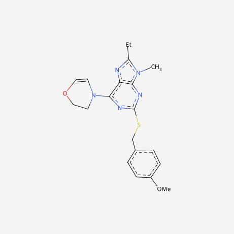 CCc1nc2c(N3C=COCC3)nc(SCc3ccc(OC)cc3)nc2n1C